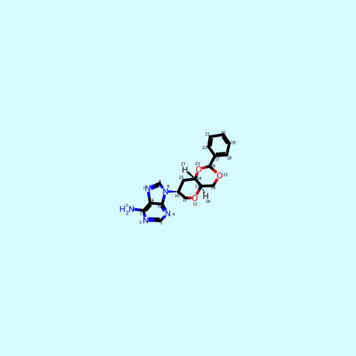 Nc1ncnc2c1ncn2[C@@H]1CO[C@@H]2COC(c3ccccc3)O[C@H]2C1